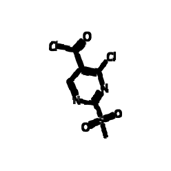 CS(=O)(=O)c1ncc(C(=O)Cl)c(Cl)n1